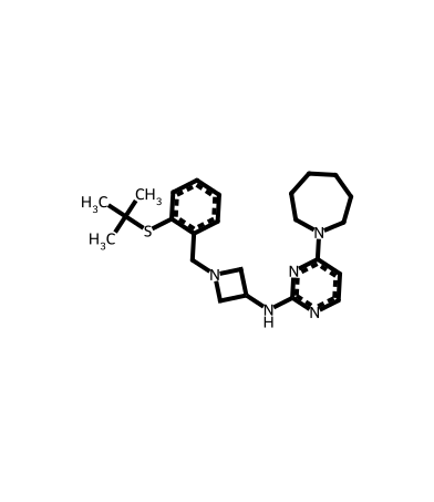 CC(C)(C)Sc1ccccc1CN1CC(Nc2nccc(N3CCCCCC3)n2)C1